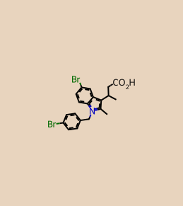 Cc1c(C(C)CC(=O)O)c2cc(Br)ccc2n1Cc1ccc(Br)cc1